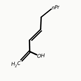 C=C(O)/C=C/CCCC